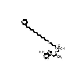 C[C@H](Cn1cnc2c(N)ncnc21)OCP(=O)(O)OCCCOCCCCCCCCCCCCc1cccnc1